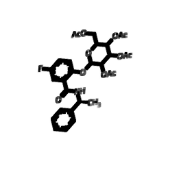 CC(=O)OCC1OC(Oc2ccc(F)cc2C(=O)N[C@@H](C)c2ccccc2)C(OC(C)=O)C(OC(C)=O)C1OC(C)=O